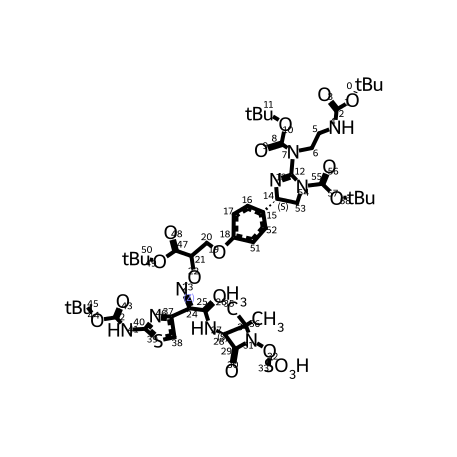 CC(C)(C)OC(=O)NCCN(C(=O)OC(C)(C)C)C1=N[C@@H](c2ccc(OCC(O/N=C(\C(=O)N[C@@H]3C(=O)N(OS(=O)(=O)O)C3(C)C)c3csc(NC(=O)OC(C)(C)C)n3)C(=O)OC(C)(C)C)cc2)CN1C(=O)OC(C)(C)C